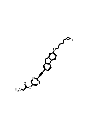 C=CC(=O)Oc1cnc(C#Cc2ccc3c(c2)Cc2cc(OCCCCC)ccc2-3)nc1